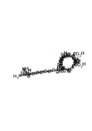 CCCC[C@H](NC(=O)CCOCCOCCOCCOCCOCCOCCNC(=O)C(CNCCN)CNCCN)C(=O)N[C@H]1CSCc2cncc(c2)CSC[C@@H](C(=O)O)NC(=O)[C@H](Cc2ccccc2)NC(=O)[C@H](CCC(=O)O)NC(=O)[C@H]([C@@H](C)O)NC(=O)[C@@H]2CCCN2C(=O)[C@@H]2CCCN2C1=O